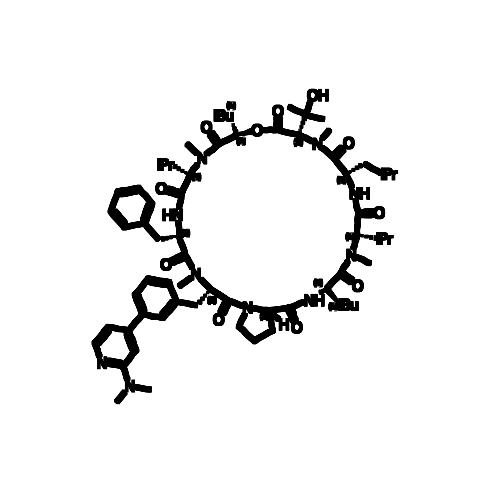 CC[C@H](C)[C@@H]1NC(=O)[C@@H]2CCCN2C(=O)[C@H](Cc2cccc(-c3ccnc(N(C)C)c3)c2)N(C)C(=O)[C@H](Cc2ccccc2)NC(=O)[C@H](C(C)C)N(C)C(=O)[C@@H]([C@@H](C)CC)OC(=O)[C@H](C(C)(C)O)N(C)C(=O)[C@H](CC(C)C)NC(=O)[C@H](C(C)C)N(C)C1=O